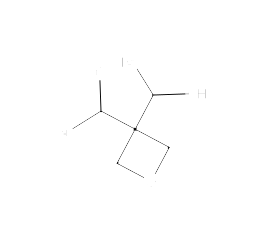 CC(Br)C1(C(C)Br)COC1